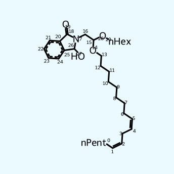 CCCCC/C=C\C/C=C\CCCCCCCCOC(CN1C(=O)c2ccccc2C1O)OCCCCCC